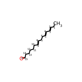 CCC=CC=CCCC=CCCCCCC=O